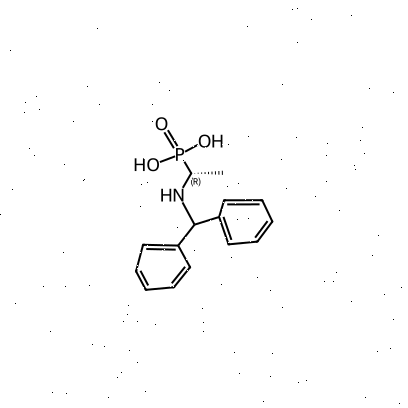 C[C@H](NC(c1ccccc1)c1ccccc1)P(=O)(O)O